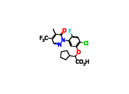 Cc1c(C(F)(F)F)cnn(-c2cc(OC(C(=O)O)C3CCCC3)c(Cl)cc2F)c1=O